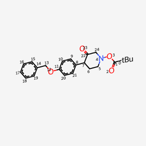 CC(C)(C)C(=O)ON1CCC(c2ccc(OCc3ccccc3)cc2)C(=O)C1